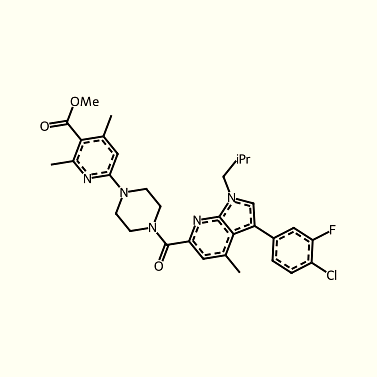 COC(=O)c1c(C)cc(N2CCN(C(=O)c3cc(C)c4c(-c5ccc(Cl)c(F)c5)cn(CC(C)C)c4n3)CC2)nc1C